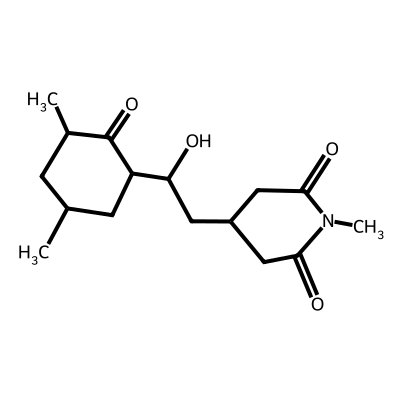 CC1CC(C)C(=O)C(C(O)CC2CC(=O)N(C)C(=O)C2)C1